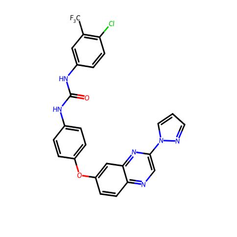 O=C(Nc1ccc(Oc2ccc3ncc(-n4cccn4)nc3c2)cc1)Nc1ccc(Cl)c(C(F)(F)F)c1